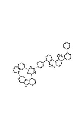 Cc1c(-c2ccc(-c3nc(-c4ccccc4)nc(-c4cccc5oc6ccc(-c7ccccc7)cc6c45)n3)cc2)cccc1-c1cccc(-c2cccc(-c3ccccc3)c2)c1C